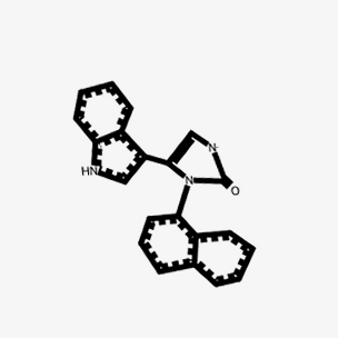 O=C1[N]C=C(c2c[nH]c3ccccc23)N1c1cccc2ccccc12